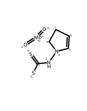 S=C([S-])NN1C=CCC1.[O]=[Mo+]=[O]